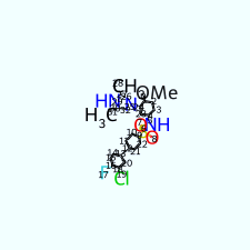 COc1ccc(NS(=O)(=O)c2ccc(-c3ccc(F)c(Cl)c3)cc2)cc1N1C[C@@H](C)N[C@@H](C)C1